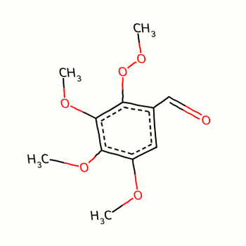 COOc1c(C=O)cc(OC)c(OC)c1OC